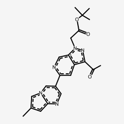 CC(=O)c1nn(CC(=O)OC(C)(C)C)c2cnc(-c3cnc4cc(C)cn4c3)cc12